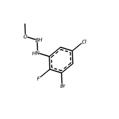 COBNc1cc(Cl)cc(Br)c1F